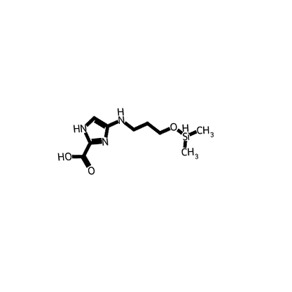 C[SiH](C)OCCCNc1c[nH]c(C(=O)O)n1